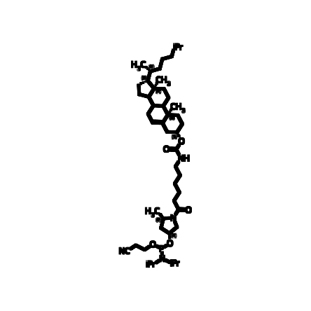 CC(C)CCC[C@@H](C)[C@H]1CCC2C3CC=C4C[C@@H](OC(=O)NCCCCCC(=O)N5C[C@H](OP(OCCC#N)N(C(C)C)C(C)C)C[C@H]5C)CC[C@]4(C)C3CC[C@@]21C